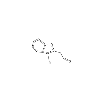 O=CCc1sc2ccccc2c1Cl